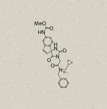 COC(=O)Nc1ccc2c(c1)C=CC21NC(=O)N(CC(=O)N(Cc2ccccc2)[C@@H](C)C2CC2)C1=O